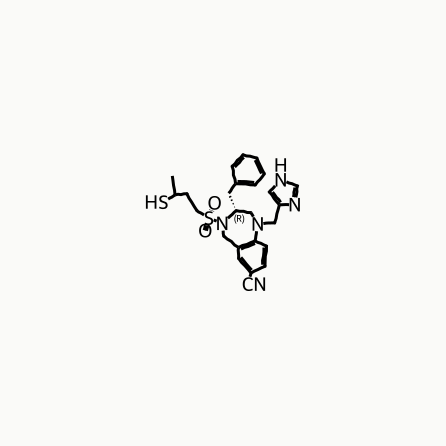 CC(S)CCS(=O)(=O)N1Cc2cc(C#N)ccc2N(Cc2c[nH]cn2)C[C@H]1Cc1ccccc1